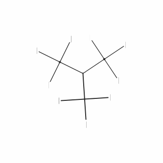 IC(I)(I)[C](C(I)(I)I)C(I)(I)I